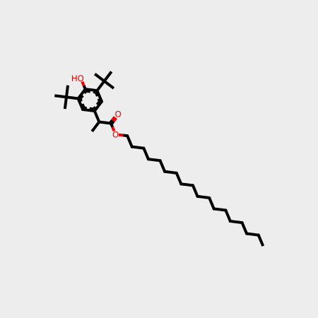 CCCCCCCCCCCCCCCCCCOC(=O)C(C)c1cc(C(C)(C)C)c(O)c(C(C)(C)C)c1